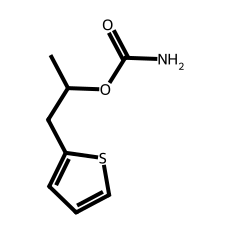 CC(Cc1cccs1)OC(N)=O